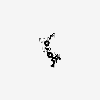 CN(C)CCOc1ccc(NC(=O)Nc2ccc(-c3cc(C4CC4)nc4c3c(N)nn4C)cc2)cc1C(F)(F)F